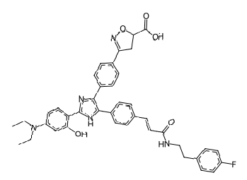 CCN(CC)c1ccc(-c2nc(-c3ccc(C4=NOC(C(=O)O)C4)cc3)c(-c3ccc(C=CC(=O)NCCc4ccc(F)cc4)cc3)[nH]2)c(O)c1